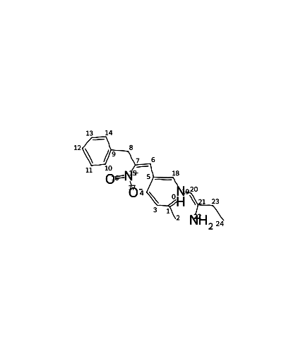 C=C(C)\C=C/C(/C=C(/Cc1ccccc1)[N+](=O)[O-])=C\N/C=C(\N)CC